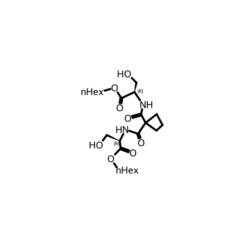 CCCCCCOC(=O)[C@@H](CO)NC(=O)C1(C(=O)N[C@H](CO)C(=O)OCCCCCC)CCC1